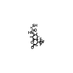 O=C(CS)Nc1ccc2c(C(F)(F)F)cc(=O)oc2c1